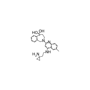 Cc1ccc2nc(N3CCS(O)(O)c4ccccc4C3)cc(NCCC3(N)CC3)c2c1